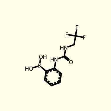 O=C(NCC(F)(F)F)Nc1ccccc1B(O)O